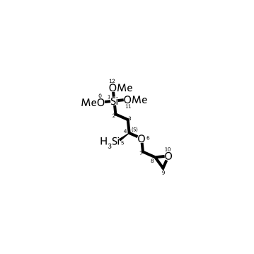 CO[Si](CC[C@H]([SiH3])OCC1CO1)(OC)OC